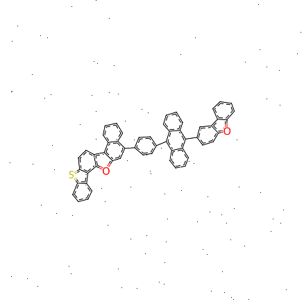 c1ccc2c(c1)oc1ccc(-c3c4ccccc4c(-c4ccc(-c5cc6oc7c(ccc8sc9ccccc9c87)c6c6ccccc56)cc4)c4ccccc34)cc12